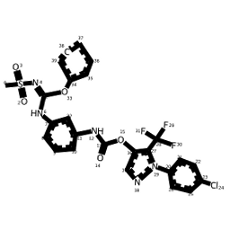 CS(=O)(=O)N=C(Nc1cccc(NC(=O)Oc2cnn(-c3ccc(Cl)cc3)c2C(F)(F)F)c1)Oc1ccccc1